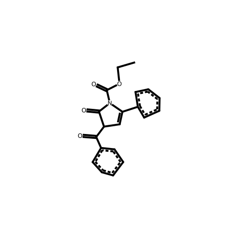 CCOC(=O)N1C(=O)C(C(=O)c2ccccc2)C=C1c1ccccc1